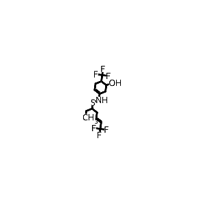 CCC(C/C=C/C(F)(F)F)SNC1=CCC(C(F)(F)F)C(O)C1